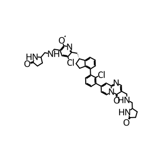 COc1nc(C[C@H]2CCc3c(-c4cccc(-c5ccn6c(=O)c(CNCC7CCC(=O)N7)cnc6c5)c4Cl)cccc32)c(Cl)cc1CNCC1CCC(=O)N1